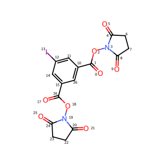 O=C(ON1C(=O)CCC1=O)c1cc(I)cc(C(=O)ON2C(=O)CCC2=O)c1